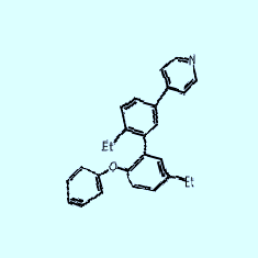 CCc1ccc(Oc2ccccc2)c(-c2cc(-c3ccncc3)ccc2CC)c1